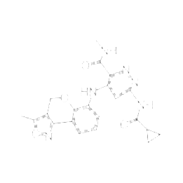 CNC(=O)c1nnc(NC(=O)C2CC2)cc1Nc1cccc2c1OCc1c-2noc1C